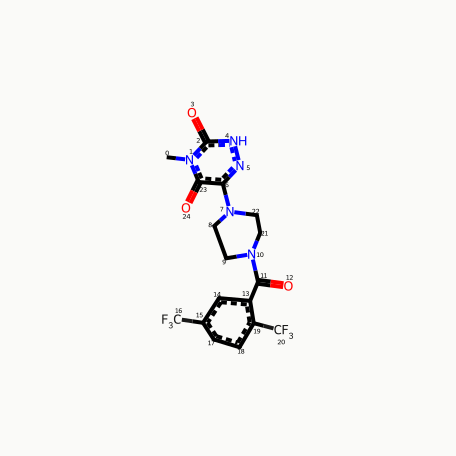 Cn1c(=O)[nH]nc(N2CCN(C(=O)c3cc(C(F)(F)F)ccc3C(F)(F)F)CC2)c1=O